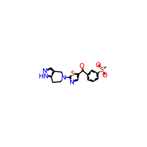 CS(=O)(=O)c1cccc(C(=O)c2cnc(N3CCc4[nH]ncc4C3)s2)c1